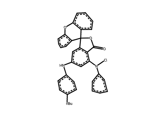 CCCCc1ccc(Nc2cc(N(Cl)c3ccccc3)c3c(c2)C2(OC3=O)c3ccccc3Oc3ccccc32)cc1